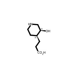 O=C(O)CC[C@H]1CCNC[C@H]1O